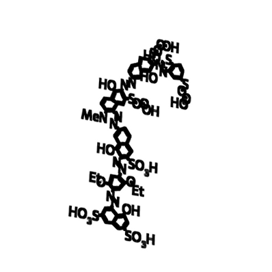 CCOc1cc(N=Nc2cc(S(=O)(=O)O)cc3cc(S(=O)(=O)O)cc(O)c23)c(OCC)cc1N=Nc1c(S(=O)(=O)O)cc2ccc(N=Nc3c(NC)ccc4c(O)c(N=Nc5ccc6cc(SOOO)c(N=Nc7cc(SOOO)ccc7S(=O)(=O)O)c(O)c6c5)c(SOOO)cc34)cc2c1O